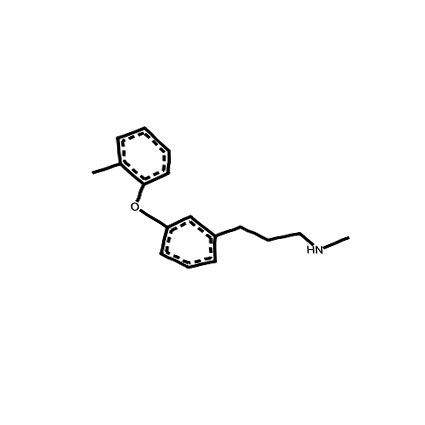 CNCCCc1cccc(Oc2ccccc2C)c1